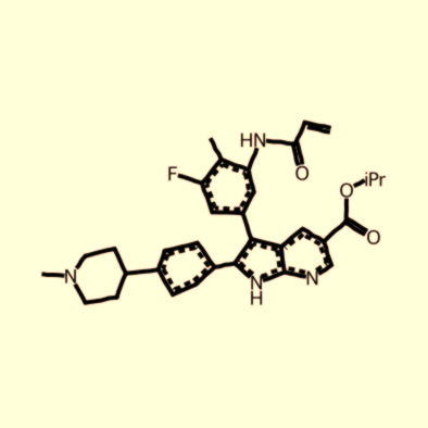 C=CC(=O)Nc1cc(-c2c(-c3ccc(C4CCN(C)CC4)cc3)[nH]c3ncc(C(=O)OC(C)C)cc23)cc(F)c1C